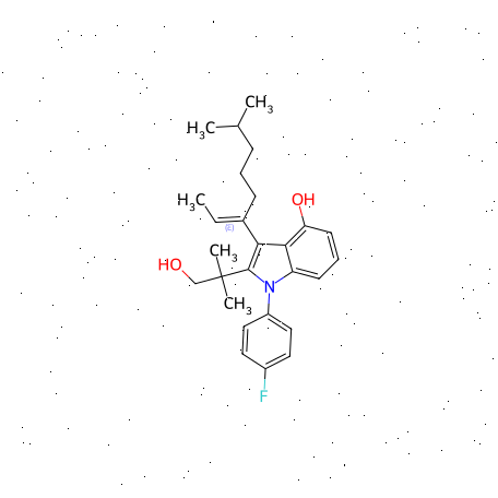 C/C=C(\CCCC(C)C)c1c(C(C)(C)CO)n(-c2ccc(F)cc2)c2cccc(O)c12